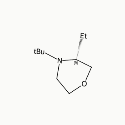 CC[C@@H]1COCCN1C(C)(C)C